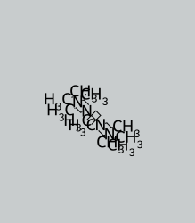 CC(C)N1[C@H](C)CN(C2(C)CCC2(C)N2C[C@H](C)N(C(C)C)[C@@H](C)C2)C[C@H]1C